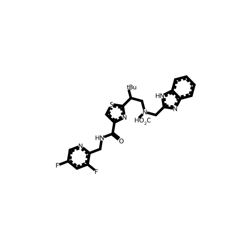 CC(C)(C)C(CN(Cc1nc2ccccc2[nH]1)C(=O)O)c1nc(C(=O)NCc2ncc(F)cc2F)cs1